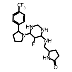 O=C1CCC(CNC2NCNC(N3CCCC3c3ccc(C(F)(F)F)cc3)C2F)N1